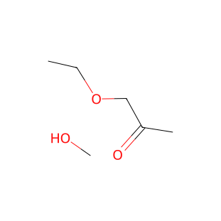 CCOCC(C)=O.CO